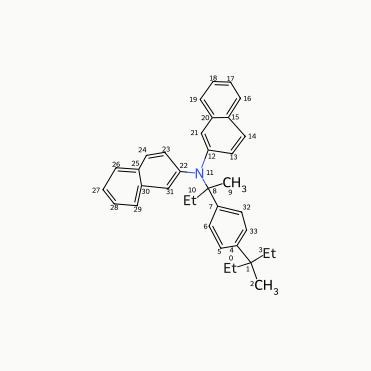 CCC(C)(CC)c1ccc(C(C)(CC)N(c2ccc3ccccc3c2)c2ccc3ccccc3c2)cc1